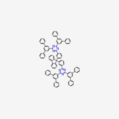 c1ccc(-c2cc(-c3ccccc3)cc(-c3nc(-c4cc(-c5ccccc5)cc(-c5ccccc5)c4)nc(-c4cccc(C5(c6cccc(-c7nc(-c8cc(-c9ccccc9)cc(-c9ccccc9)c8)nc(-c8cc(-c9ccccc9)cc(-c9ccccc9)c8)n7)c6)c6ccccc6-c6ccccc65)c4)n3)c2)cc1